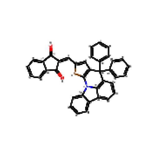 O=C1C(=Cc2cc3c(s2)-n2c4ccccc4c4cccc(c42)C3(c2ccccc2)c2ccccc2)C(=O)c2ccccc21